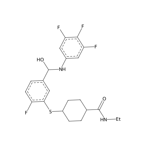 CCNC(=O)C1CCC(Sc2cc(C(O)Nc3cc(F)c(F)c(F)c3)ccc2F)CC1